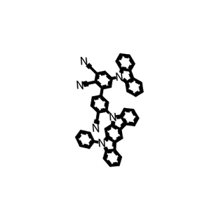 N#Cc1ccc(-c2cc(-n3c4ccccc4c4ccccc43)cc(C#N)c2C#N)cc1-n1c2ccccc2c2cc3c4ccccc4n(-c4ccccc4)c3cc21